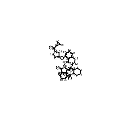 CNC(=O)[C@@H]1CCCCC1C(=O)N1CCc2cccc(O[C@H]3CCN(C(=O)C4CC4)C3)c2[C@H]1CN1C(=O)c2ccccc2C1=O